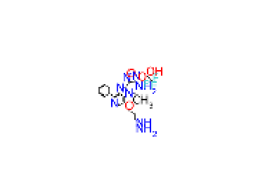 CCn1c(-c2nonc2N)nc2c(-c3ccccc3)ncc(OCCCNN)c21.O=C(O)C(F)(F)F